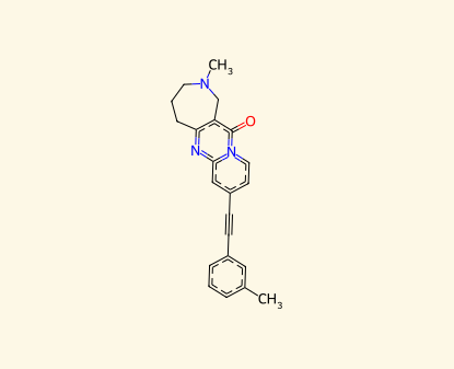 Cc1cccc(C#Cc2ccn3c(=O)c4c(nc3c2)CCCN(C)C4)c1